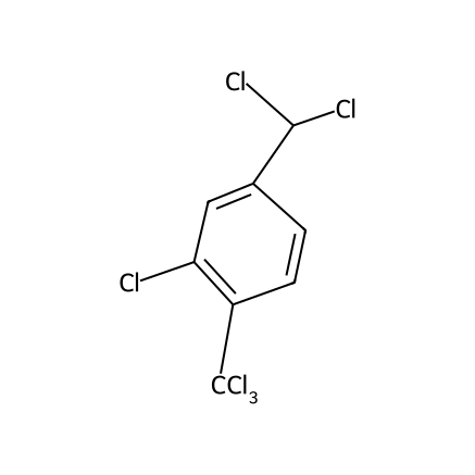 Clc1cc(C(Cl)Cl)ccc1C(Cl)(Cl)Cl